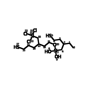 CCC(CCS)C[Si](O)(O)OCCC(CCCS)C[Si](Cl)(Cl)Cl